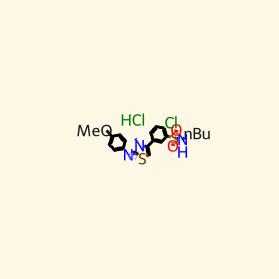 CCCCNS(=O)(=O)c1cc(-c2cs/c(=N/c3ccc(OC)cc3)n2C)ccc1Cl.Cl